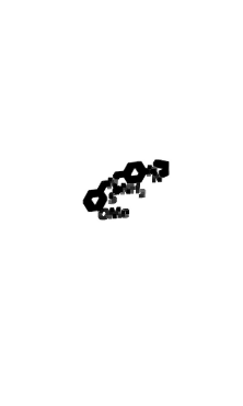 COc1cccc(CN(Cc2ccc(-n3cccn3)cc2)C(N)=S)c1